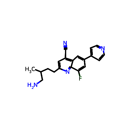 CC(CN)CCc1cc(C#N)c2cc(-c3ccncc3)cc(F)c2n1